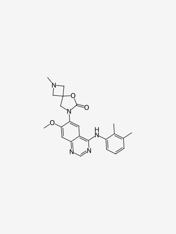 COc1cc2ncnc(Nc3cccc(C)c3C)c2cc1N1CC2(CN(C)C2)OC1=O